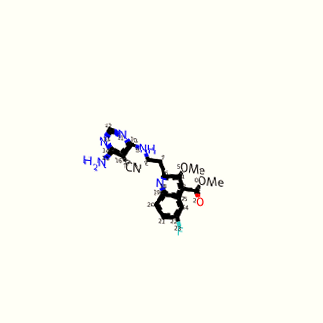 COC(=O)c1c(OC)c(CCNc2ncnc(N)c2C#N)nc2ccc(F)cc12